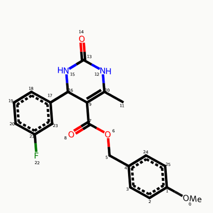 COc1ccc(COC(=O)C2=C(C)NC(=O)NC2c2cccc(F)c2)cc1